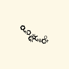 Cc1nn2c([C@H]3CCCN(Cc4ccccc4)C3)ccnc2c1CNC[C@@H]1CCN(C)C(=O)C1